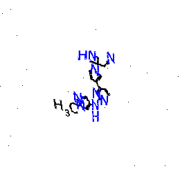 Cn1cc(Nc2nccc(-c3ccn(C4(CC#N)CNC4)c3)n2)cn1